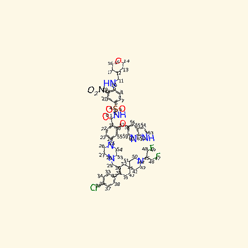 O=C(NS(=O)(=O)c1ccc(NCC2CCOCC2)c([N+](=O)[O-])c1)c1ccc(N2CCN(CC3=C(c4ccc(Cl)cc4)CCC4(CCN(C(CF)CF)CC4)C3)CC2)cc1Oc1cnc2[nH]ccc2c1